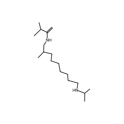 C=C(NCC(C)CCCCCCCNC(C)C)C(C)C